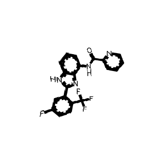 O=C(Nc1cccc2[nH]c(-c3cc(F)ccc3C(F)(F)F)nc12)c1ccccn1